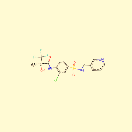 C[C@@](O)(C(=O)Nc1ccc(S(=O)(=O)NCc2cccnc2)cc1Cl)C(F)(F)F